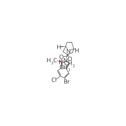 CC(C)(C)OC(=O)N1[C@@H]2CC[C@H]1CC(n1cc3cc(Br)c(Cl)cc3n1)C2